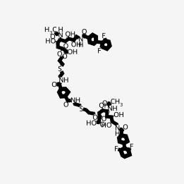 CC(=O)N[C@H]1[C@H]([C@H](O)[C@H](O)CNC(=O)c2ccc(-c3c(F)cccc3F)cc2)O[C@@](OCCCSCCNC(=O)c2ccc(C(=O)NCCSCCCO[C@]3(C(=O)O)C[C@H](O)[C@@H](NC(C)=O)[C@H]([C@H](O)[C@H](O)CNC(=O)c4ccc(-c5c(F)cccc5F)cc4)O3)cc2)(C(=O)O)C[C@@H]1O